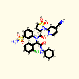 N#Cc1ccnc(N2[C@H](C(=O)N(c3cccc(S(N)(=O)=O)c3)C(C(=O)NC3CCCCC3)c3ccccc3Cl)CCS2(=O)=O)c1